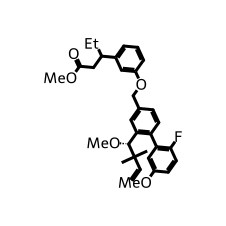 C=CC(C)(C)[C@H](OC)c1cc(COc2cccc(C(CC)CC(=O)OC)c2)ccc1-c1cc(OC)ccc1F